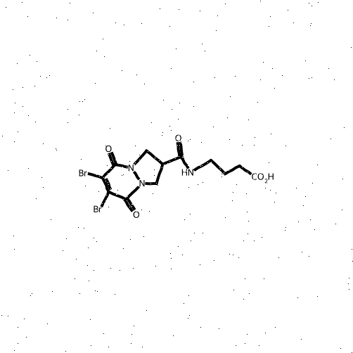 O=C(O)CCCNC(=O)C1Cn2c(=O)c(Br)c(Br)c(=O)n2C1